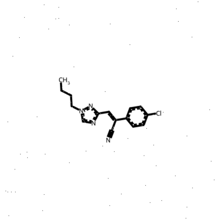 CCCCn1cnc(C=C(C#N)c2ccc(Cl)cc2)n1